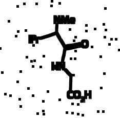 CNC(C(=O)NCC(=O)O)C(C)C